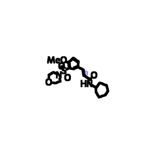 COc1ccc(/C=C/C(=O)NC2CCCCCC2)cc1S(=O)(=O)N1CCOCC1